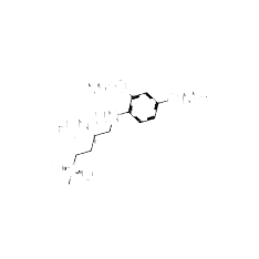 COc1ccc(NC[C@@H](N)CCS(C)(=O)=O)c(OC)c1